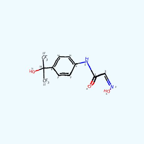 O=C(/C=N\O)Nc1ccc(C(O)(C(F)(F)F)C(F)(F)F)cc1